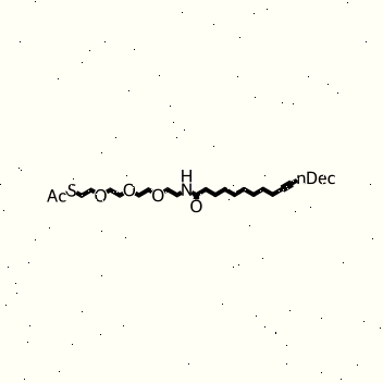 CCCCCCCCCCC#CCCCCCCCCC(=O)NCCOCCOCCOCCSC(C)=O